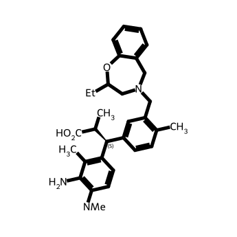 CCC1CN(Cc2cc([C@@H](c3ccc(NC)c(N)c3C)C(C)C(=O)O)ccc2C)Cc2ccccc2O1